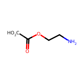 NCCOC(=O)C(=O)O